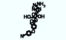 N#Cc1ccc(Oc2ccc3c(c2)COB3OC2[C@@H](CO)O[C@@H](n3cnc4c(N)ncnc43)[C@H]2O)cc1